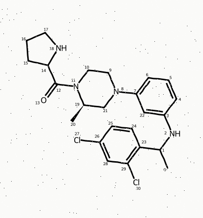 CC(Nc1cccc(N2CCN(C(=O)C3CCCN3)[C@H](C)C2)c1)c1ccc(Cl)cc1Cl